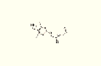 Cc1cc(OCC(=O)OC[PH](C)=S)cc(C)c1CN